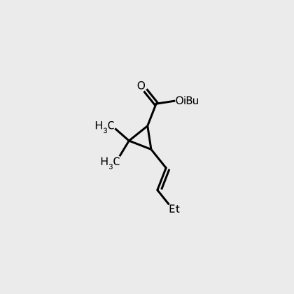 CC/C=C/C1C(C(=O)OCC(C)C)C1(C)C